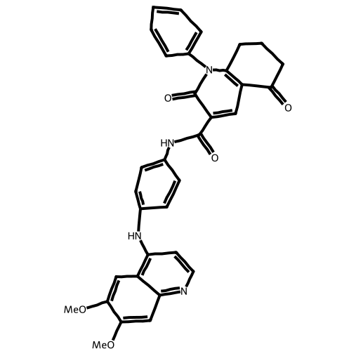 COc1cc2nccc(Nc3ccc(NC(=O)c4cc5c(n(-c6ccccc6)c4=O)CCCC5=O)cc3)c2cc1OC